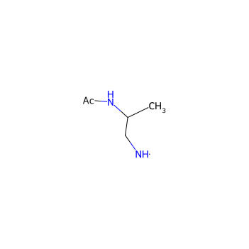 CC(=O)NC(C)C[NH]